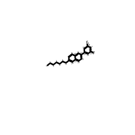 CCCCCCCc1ccc2cc(-c3cc(F)cc(F)c3)ccc2c1